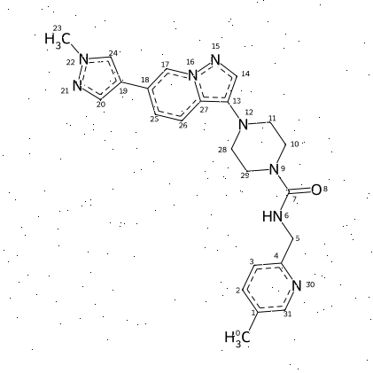 Cc1ccc(CNC(=O)N2CCN(c3cnn4cc(-c5cnn(C)c5)ccc34)CC2)nc1